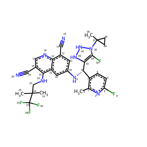 Cc1nc(F)ccc1[C@H](Nc1cc(C#N)c2ncc(C#N)c(NCC(C)(C)C(F)(F)F)c2c1)C1=C(F)N(C2(C)CC2)NN1